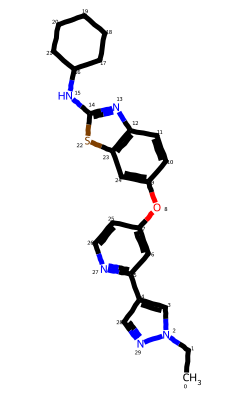 CCn1cc(-c2cc(Oc3ccc4nc(NC5CCCCC5)sc4c3)ccn2)cn1